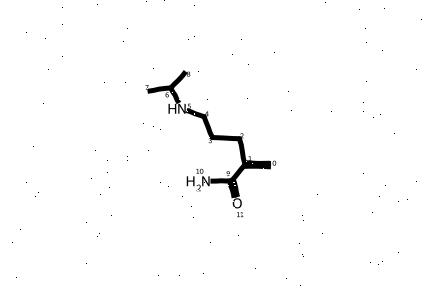 C=C(CCCNC(C)C)C(N)=O